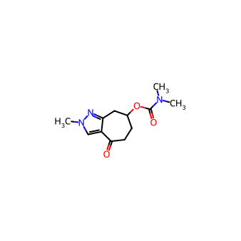 CN(C)C(=O)OC1CCC(=O)c2cn(C)nc2C1